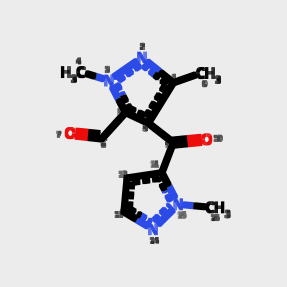 Cc1nn(C)c([C]=O)c1C(=O)c1ccnn1C